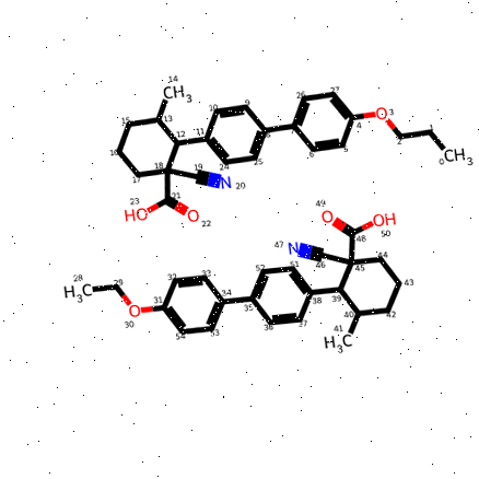 CCCOc1ccc(-c2ccc(C3C(C)CCCC3(C#N)C(=O)O)cc2)cc1.CCOc1ccc(-c2ccc(C3C(C)CCCC3(C#N)C(=O)O)cc2)cc1